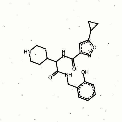 O=C(NC(C(=O)NCc1ccccc1O)C1CCNCC1)c1cc(C2CC2)on1